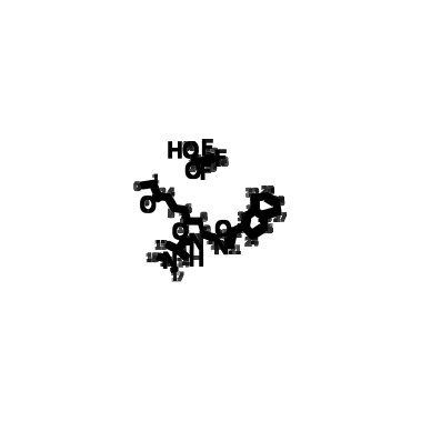 CCC(=O)CCCCC[C@H](NC(=O)C(C)(C)N(C)C)c1ncc(-c2ccc3ccccc3c2)o1.O=C(O)C(F)(F)F